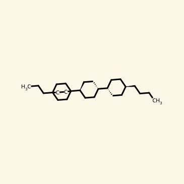 CCCC[C@H]1CC[C@H]([C@H]2CC[C@H](C34CCC(CCC)(CC3)CC4)CC2)CC1